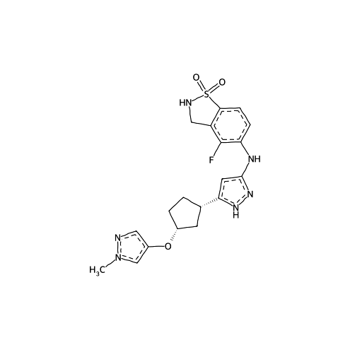 Cn1cc(O[C@@H]2CC[C@H](c3cc(Nc4ccc5c(c4F)CNS5(=O)=O)n[nH]3)C2)cn1